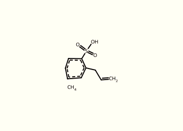 C.C=CCc1ccccc1S(=O)(=O)O